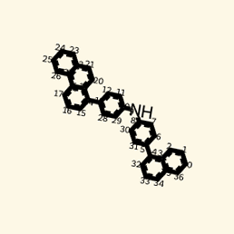 c1ccc2c(-c3ccc(Nc4ccc(-c5cccc6c5ccc5ccccc56)cc4)cc3)cccc2c1